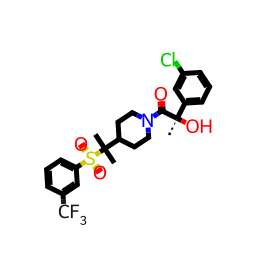 CC(C)(C1CCN(C(=O)[C@](C)(O)c2cccc(Cl)c2)CC1)S(=O)(=O)c1cccc(C(F)(F)F)c1